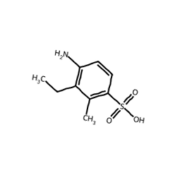 CCc1c(N)ccc(S(=O)(=O)O)c1C